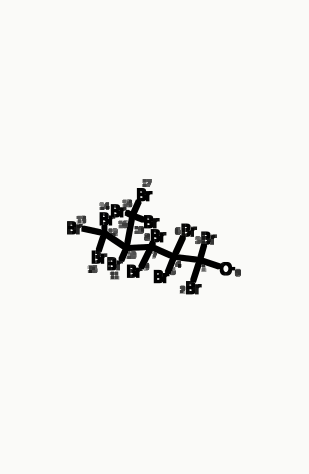 [O]C(Br)(Br)C(Br)(Br)C(Br)(Br)C(Br)(C(Br)(Br)Br)C(Br)(Br)Br